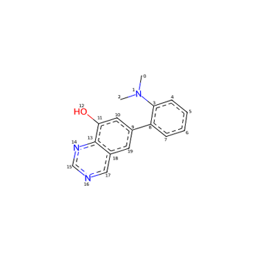 CN(C)c1ccccc1-c1cc(O)c2ncncc2c1